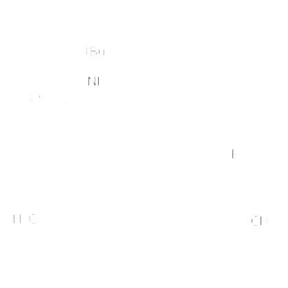 Cc1cc(C(=O)NC(C)(C)C)cc(-c2ccc(C)c(F)c2)c1